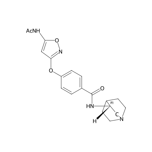 CC(=O)Nc1cc(Oc2ccc(C(=O)N[C@H]3CN4CCC3CC4)cc2)no1